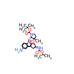 CC(C)OC(=O)N[C@H]1Cc2c(n(C[C@@H]3N(C(=O)OC(C)(C)C)CC[C@@]3(C)O)c3ccc(N)cc23)C1